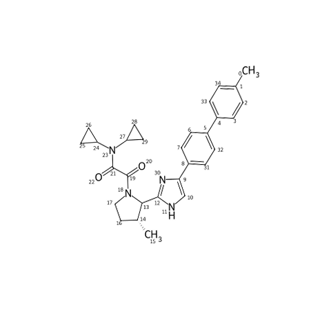 Cc1ccc(-c2ccc(-c3c[nH]c(C4[C@H](C)CCN4C(=O)C(=O)N(C4CC4)C4CC4)n3)cc2)cc1